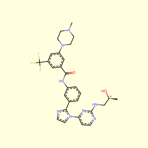 C[C@H](O)CNc1nccc(-n2ccnc2-c2cccc(NC(=O)c3cc(N4CCN(C)CC4)cc(C(F)(F)F)c3)c2)n1